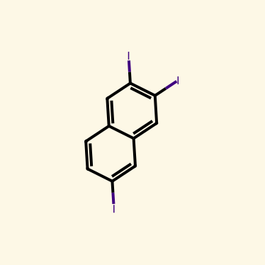 Ic1ccc2cc(I)c(I)cc2c1